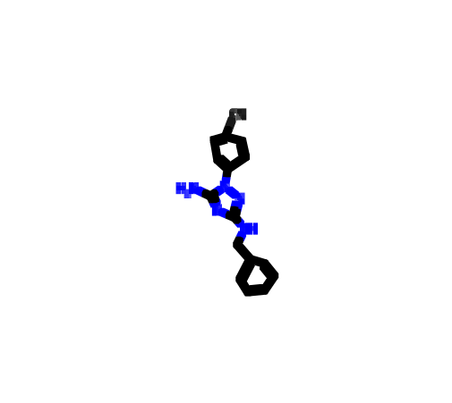 N#Cc1ccc(-n2nc(NCc3ccccc3)nc2N)cc1